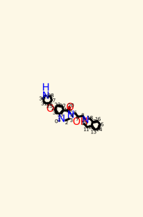 CN1CCN(CC(O)CN2CCc3ccccc3C2)C(=O)c2ccc(OC3CCNCC3)cc21